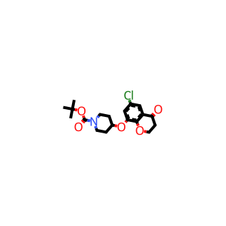 CC(C)(C)OC(=O)N1CCC(Oc2cc(Cl)cc3c2OCCC3=O)CC1